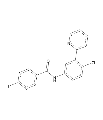 O=C(Nc1ccc(Cl)c(-c2ccccn2)c1)c1ccc(I)nc1